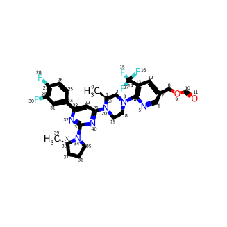 C[C@H]1CN(c2ncc(COC=O)cc2C(F)(F)F)CCN1c1cc(-c2ccc(F)c(F)c2)nc(N2CCC[C@@H]2C)n1